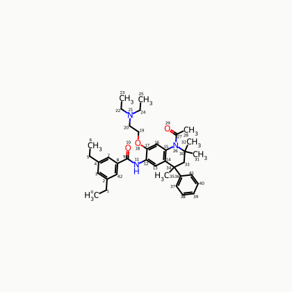 CCc1cc(CC)cc(C(=O)Nc2cc3c(cc2OCCN(CC)CC)N(C(C)=O)C(C)(C)CC3(C)c2ccccc2)c1